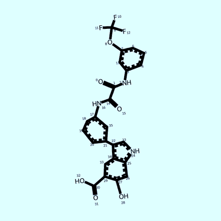 O=C(Nc1cccc(OC(F)(F)F)c1)C(=O)Nc1cccc(-c2c[nH]c3cc(O)c(C(=O)O)cc23)c1